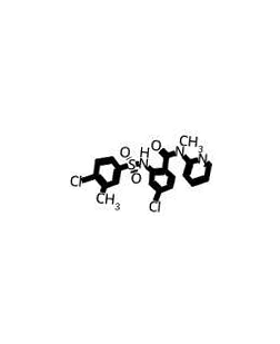 Cc1cc(S(=O)(=O)Nc2cc(Cl)ccc2C(=O)N(C)c2ccccn2)ccc1Cl